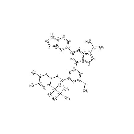 COc1cc(OCC(CN(C)C(=O)O)O[Si](C)(C)C(C)(C)C)cc(-c2cc(-c3cnc4[nH]ccc4c3)nc3c(C(C)C)cnn23)c1